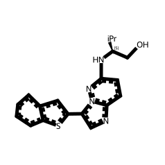 CC(C)[C@@H](CO)Nc1ccc2ncc(-c3cc4ccccc4s3)n2n1